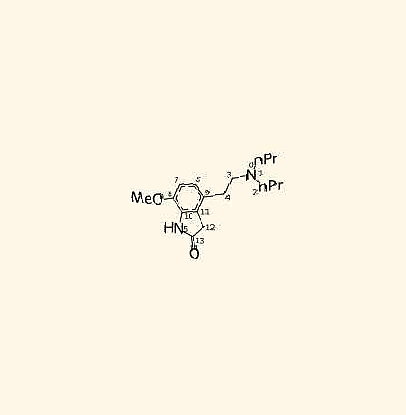 CCCN(CCC)CCc1ccc(OC)c2c1CC(=O)N2